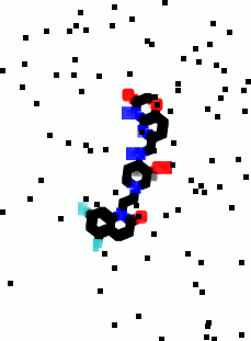 O=C1COc2ccc(CN[C@@H]3CCN(CCn4c(=O)ccc5c(F)cc(F)cc54)C[C@@H]3O)nc2N1